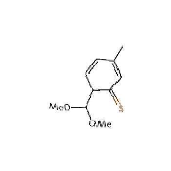 COC(OC)C1C=CC(C)=CC1=S